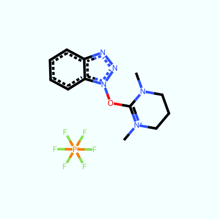 CN1CCC[N+](C)=C1On1nnc2ccccc21.F[P-](F)(F)(F)(F)F